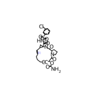 NC(=O)OC1CCCCC/C=C/C2CC2(C(=O)NS(=O)(=O)c2cccc(Cl)c2)NC(=O)C2CCCN2C1=O